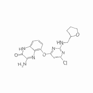 Nc1nc2c(Oc3cc(Cl)nc(NCC4CCCO4)n3)cccc2[nH]c1=O